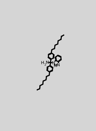 CCCCCCCCc1ccc(C(N)(c2ccc(CCCCCCCC)cc2)n2nnc3ccccc32)cc1